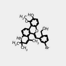 COc1c(O)ccc2c1-c1ccc3c(c1/C(=C/c1cc(Br)ccc1CO)O2)C(C)=CC(C)(C)N3